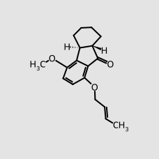 C/C=C/COc1ccc(OC)c2c1C(=O)[C@H]1CCCC[C@H]21